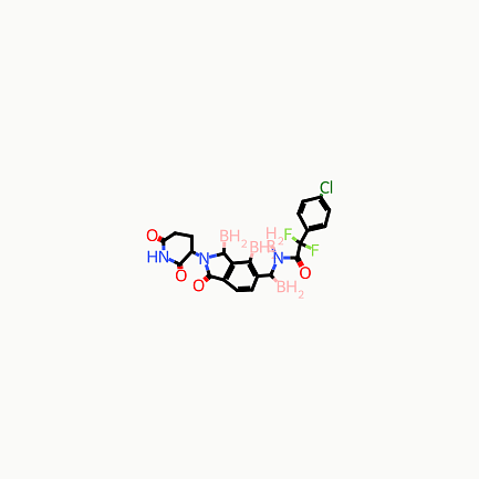 Bc1c(C(B)N(B)C(=O)C(F)(F)c2ccc(Cl)cc2)ccc2c1C(B)N(C1CCC(=O)NC1=O)C2=O